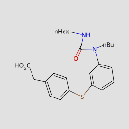 CCCCCCNC(=O)N(CCCC)c1cccc(Sc2ccc(CC(=O)O)cc2)c1